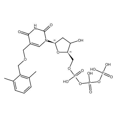 Cc1cccc(C)c1COCc1cn([C@H]2CC(O)[C@@H](COP(=O)(O)OP(=O)(O)OP(=O)(O)O)O2)c(=O)[nH]c1=O